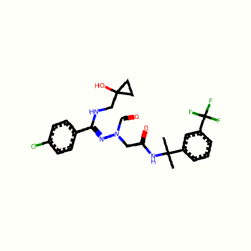 CC(C)(NC(=O)CN(C=O)/N=C(\NCC1(O)CC1)c1ccc(Cl)cc1)c1cccc(C(F)(F)F)c1